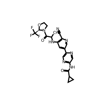 CC(Nc1cc(-c2cnc(NC(=O)C3CC3)cn2)cnc1C#N)C(=O)N1CCO[C@@H]1C(F)(F)F